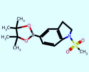 CC1(C)OB(c2ccc3c(c2)CCN3S(C)(=O)=O)OC1(C)C